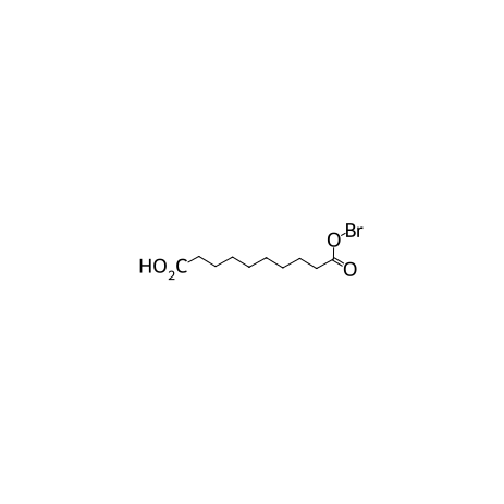 O=C(O)CCCCCCCCC(=O)OBr